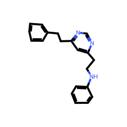 c1ccc(CCc2cc(CCNc3ccccc3)ncn2)cc1